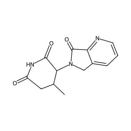 CC1CC(=O)NC(=O)C1N1Cc2cccnc2C1=O